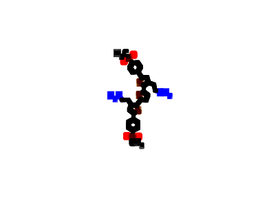 CS(=O)(=O)c1ccc(-c2cc(CCN)c(-c3ccc(-c4sc(-c5ccc(S(C)(=O)=O)cc5)cc4CCN)s3)s2)cc1